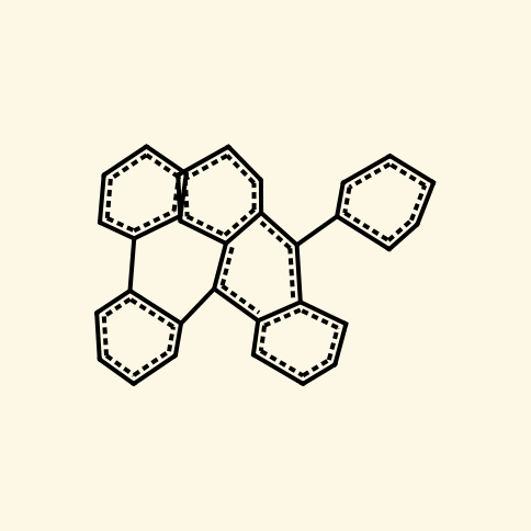 c1ccc(-c2ccccc2-c2c3ccccc3c(-c3ccccc3)c3ccccc23)cc1